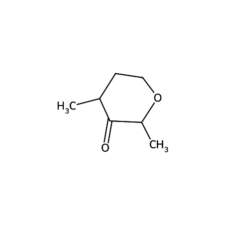 CC1CCOC(C)C1=O